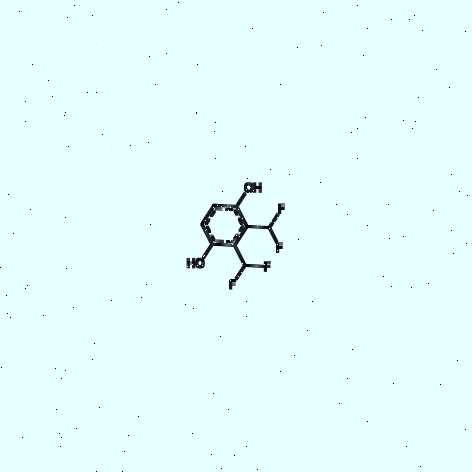 Oc1ccc(O)c(C(F)F)c1C(F)F